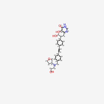 O=c1[nH]cnc(CC(CO)c2ccc(C#Cc3ccc(CN(CCO)[C@H]4CCOC4)cc3)cc2)c1O